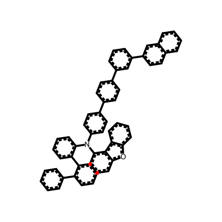 c1ccc(-c2ccccc2-c2ccccc2N(c2ccc(-c3ccc(-c4cccc(-c5ccc6ccccc6c5)c4)cc3)cc2)c2cccc3oc4ccccc4c23)cc1